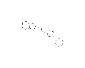 Cc1cc(/C=C(\C#N)c2nc3ccccc3[nH]2)c(C)n1-c1ccccn1